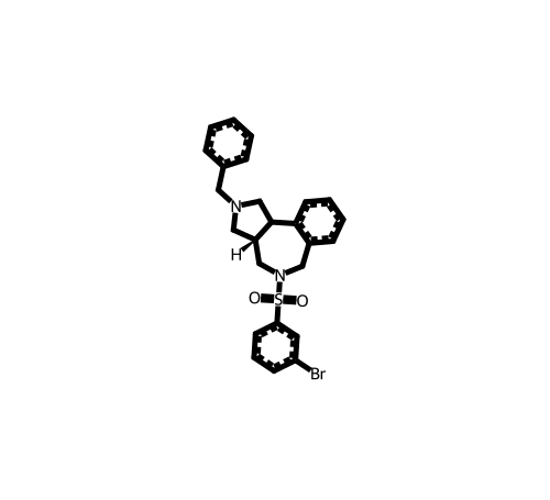 O=S(=O)(c1cccc(Br)c1)N1Cc2ccccc2C2CN(Cc3ccccc3)C[C@H]2C1